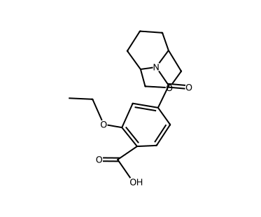 CCOc1cc(C(=O)N2C3CCCC2COC3)ccc1C(=O)O